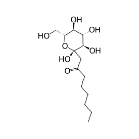 CCCCCCC(=O)C[C@]1(O)O[C@H](CO)[C@@H](O)[C@H](O)[C@H]1O